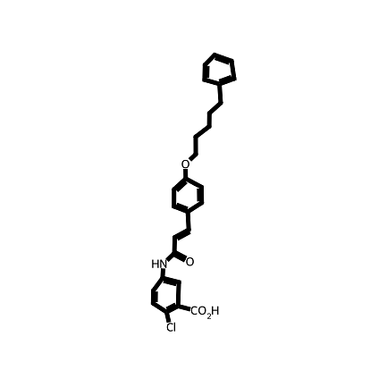 O=C(C=Cc1ccc(OCCCCCc2ccccc2)cc1)Nc1ccc(Cl)c(C(=O)O)c1